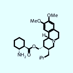 COc1cc2c(cc1OC)[C@H]1C[C@@H](COC(=O)[C@@H]3CCCC[C@H]3N)[C@H](CC(C)C)CN1CC2